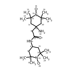 CC1(C)CC(NC(=O)CC2(N)CC(C)(C)N([O])C(C)(C)C2)CC(C)(C)N1[O]